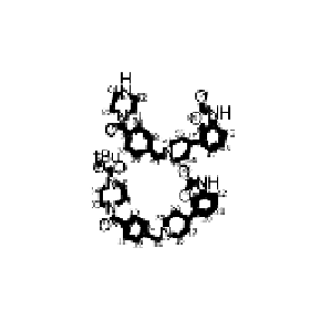 CC(C)(C)OC(=O)N1CCN(C(=O)c2ccc(CN3CCC(c4cccc5[nH]c(=O)oc45)CC3)cc2)CC1.O=C(c1ccc(CN2CCC(c3cccc4[nH]c(=O)oc34)CC2)cc1)N1CCNCC1